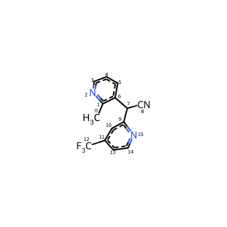 Cc1ncccc1C(C#N)c1cc(C(F)(F)F)ccn1